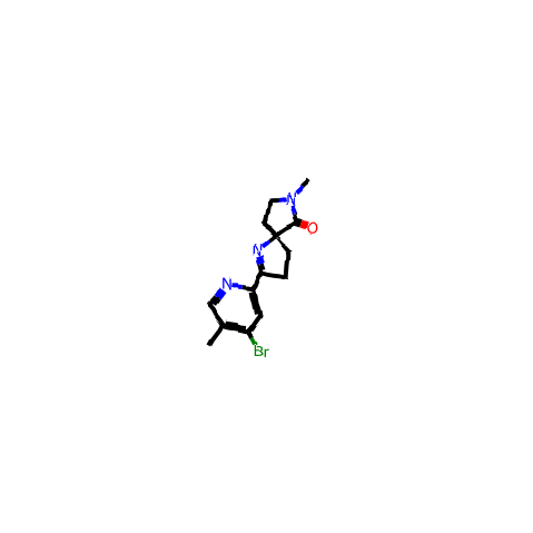 Cc1cnc(C2=N[C@]3(CC2)CCN(C)C3=O)cc1Br